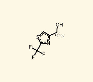 C[C@@H](O)c1csc(C(F)(F)F)n1